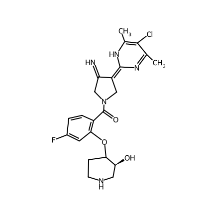 CC1=N/C(=C2\CN(C(=O)c3ccc(F)cc3OC3CCNC[C@@H]3O)CC2=N)NC(C)=C1Cl